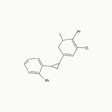 CC(C)C1=C(Cl)C=C(C2CC2c2ccccc2C(C)C)CC1C